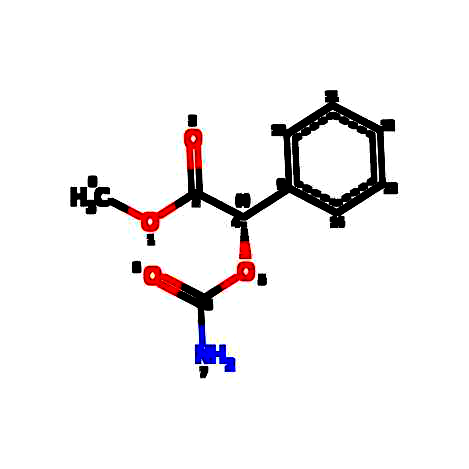 COC(=O)[C@@H](OC(N)=O)c1ccccc1